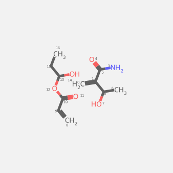 C=C(C(N)=O)C(C)O.C=CC(=O)OC(O)CC